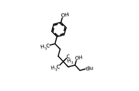 CC(CCC(C)(C)CC(O)CC(C)(C)C)c1ccc(O)cc1